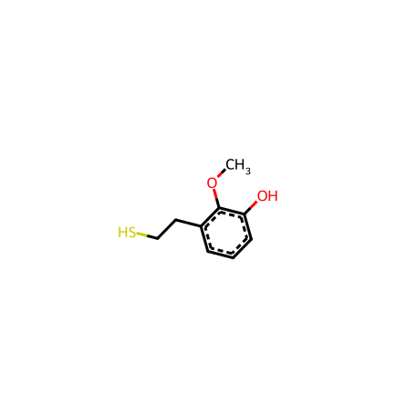 COc1c(O)cccc1CCS